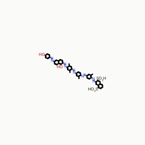 Cc1cc(N=Nc2cc(C)c(N=Nc3ccc4cc(N=Nc5ccc(O)cc5)ccc4c3O)cc2C)ccc1N=Nc1ccc(N=Nc2cc3c(S(=O)(=O)O)cccc3cc2S(=O)(=O)O)c(C)c1